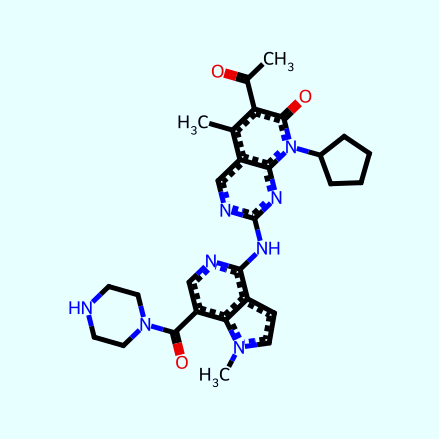 CC(=O)c1c(C)c2cnc(Nc3ncc(C(=O)N4CCNCC4)c4c3ccn4C)nc2n(C2CCCC2)c1=O